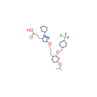 CC(C)Oc1ccc(CCCOc2cc(CCC(=O)O)n(-c3ccccc3)n2)c(OCc2ccc(C(F)(F)F)cc2)c1